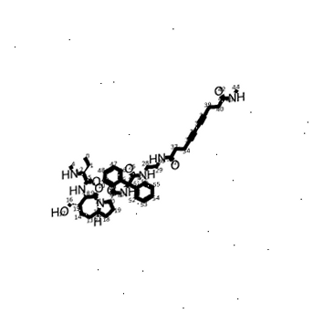 CC[C@H](NC)C(=O)N[C@@H]1C(=O)N2[C@@H](CC[C@@H]1CO)CC[C@H]2C(=O)NC(C(=O)NCCNC(=O)CCC#CC#CCCC(=O)NC)(c1ccccc1)c1ccccc1